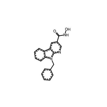 O=C(NO)c1cnc2c(c1)c1ccccc1n2Cc1ccccc1